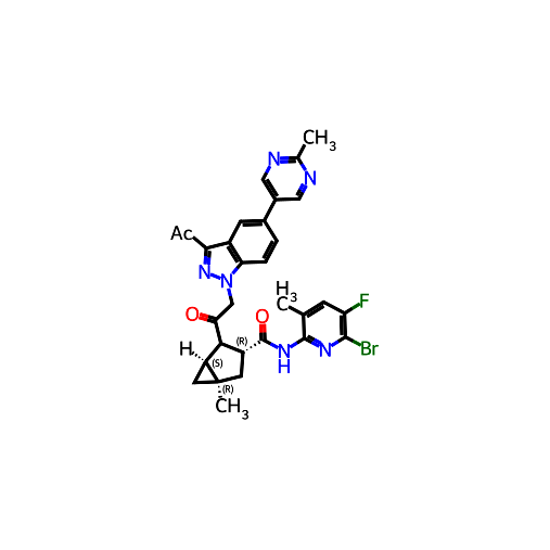 CC(=O)c1nn(CC(=O)C2[C@H](C(=O)Nc3nc(Br)c(F)cc3C)C[C@@]3(C)C[C@@H]23)c2ccc(-c3cnc(C)nc3)cc12